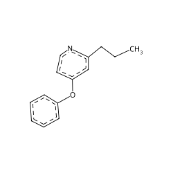 CCCc1cc(Oc2ccccc2)ccn1